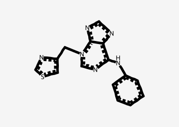 c1ccc(Nc2ncn(Cc3cscn3)c3ncnc2-3)cc1